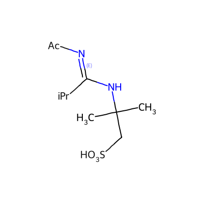 CC(=O)/N=C(/NC(C)(C)CS(=O)(=O)O)C(C)C